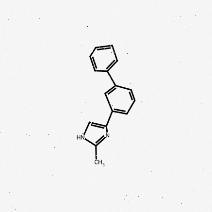 Cc1nc(-c2cccc(-c3ccccc3)c2)c[nH]1